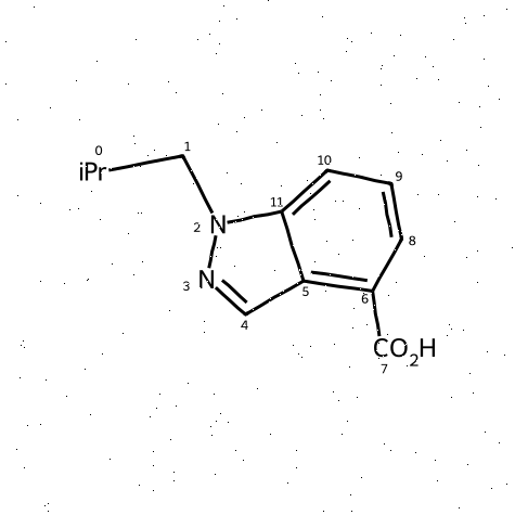 CC(C)Cn1ncc2c(C(=O)O)cccc21